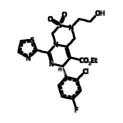 CCOC(=O)C1=C2CN(CCO)S(=O)(=O)CN2C(c2nccs2)=N[C@H]1c1ccc(F)cc1Cl